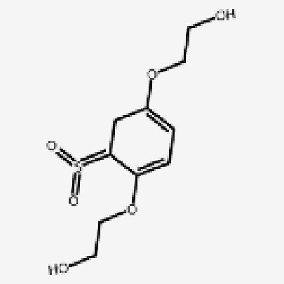 O=S(=O)=C1CC(OCCO)=CC=C1OCCO